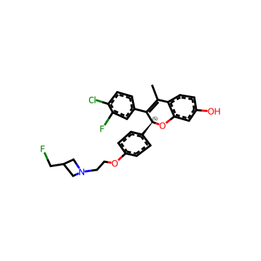 CC1=C(c2ccc(Cl)c(F)c2)[C@H](c2ccc(OCCN3CC(CF)C3)cc2)Oc2cc(O)ccc21